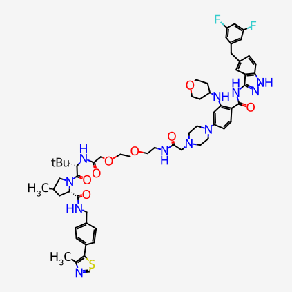 Cc1ncsc1-c1ccc(CNC(=O)[C@@H]2C[C@@H](C)CN2C(=O)[C@@H](NC(=O)COCCOCCNC(=O)CN2CCN(c3ccc(C(=O)Nc4n[nH]c5ccc(Cc6cc(F)cc(F)c6)cc45)c(NC4CCOCC4)c3)CC2)C(C)(C)C)cc1